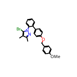 COc1ccc(COc2ccc(-c3ccccc3-n3nc(C)c(C)c3Br)cc2)cc1